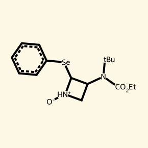 CCOC(=O)N(C1C[NH+]([O-])C1[Se]c1ccccc1)C(C)(C)C